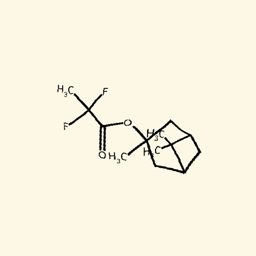 CC1(OC(=O)C(C)(F)F)CC2CC(C1)C2(C)C